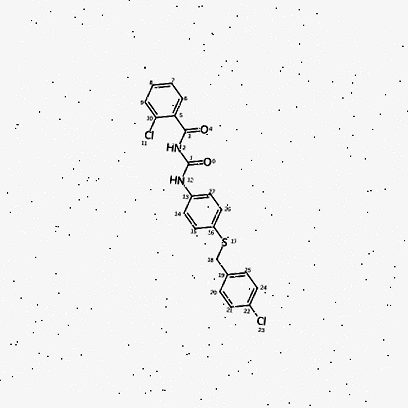 O=C(NC(=O)c1ccccc1Cl)Nc1ccc(SCc2ccc(Cl)cc2)cc1